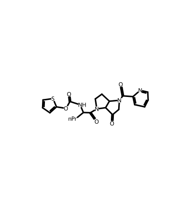 CCCC(NC(=O)Oc1cccs1)C(=O)N1CCC2C1C(=O)CN2C(=O)c1ccccn1